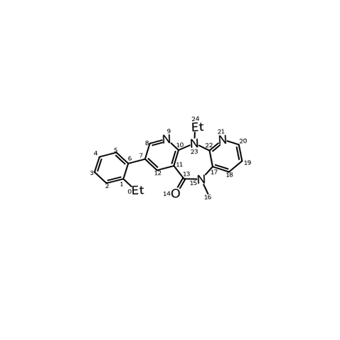 CCc1ccccc1-c1cnc2c(c1)C(=O)N(C)c1cccnc1N2CC